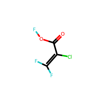 O=C(OF)C(Cl)=C(F)F